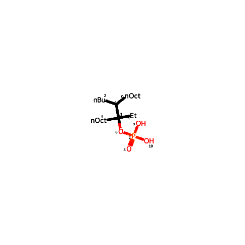 CCCCCCCCC(CCCC)C(CC)(CCCCCCCC)OP(=O)(O)O